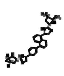 C[C@@H]1C[C@@H](c2ncc(-c3cccc4c(-c5ccc(-c6cnc([C@@H]7C[C@H]8C[C@H]8N7)[nH]6)cc5)cccc34)[nH]2)N[C@@H]1C